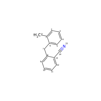 [CH2]c1ccccc1Cc1ccccc1C#N